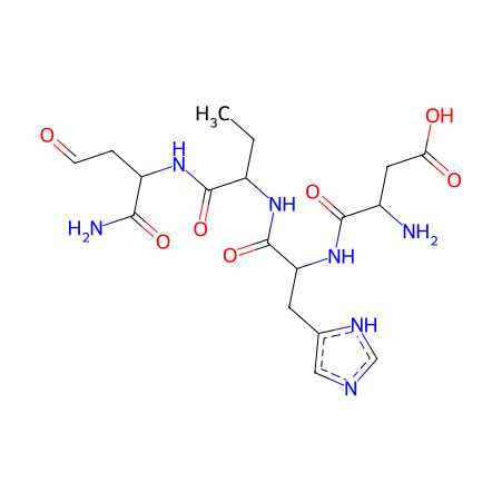 CCC(NC(=O)C(Cc1cnc[nH]1)NC(=O)C(N)CC(=O)O)C(=O)NC(CC=O)C(N)=O